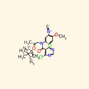 [C-]#[N+]c1cc(N(C[C@@H](C)O[Si](C)(C)C(C)(C)C)C(=O)c2c(Cl)ncnc2Cl)ccc1OC